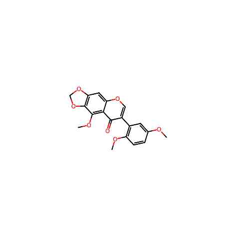 COc1ccc(OC)c(-c2coc3cc4c(c(OC)c3c2=O)OCO4)c1